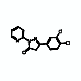 O=C1CC(c2ccc(Cl)c(Cl)c2)=NN1c1ccccn1